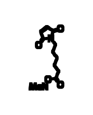 CNOC(=O)CCCCCN1C(=O)C=CC1=O